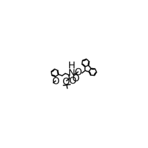 COc1ccccc1CCC(NC(=O)OCC1c2ccccc2-c2ccccc21)C(=O)OC(C)(C)C